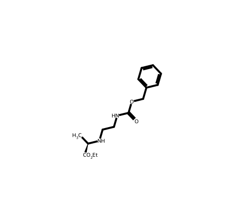 CCOC(=O)[C@@H](C)NCCNC(=O)OCc1ccccc1